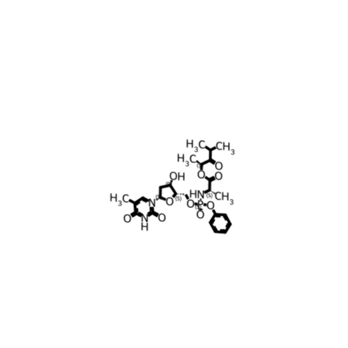 Cc1cn([C@@H]2C[C@@H](O)[C@H](CO[P@@](=O)(N[C@@H](C)C(=O)O[C@@H](C)C(=O)C(C)C)Oc3ccccc3)O2)c(=O)[nH]c1=O